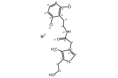 Cc1c(CCO)sc[n+]1CC(=O)NCCc1c(Cl)cccc1Cl.[Br-]